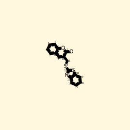 O=c1oc2ccccc2cc1CSc1nc2ccccc2s1